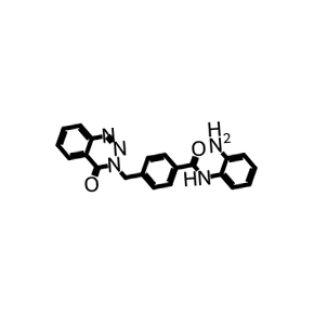 Nc1ccccc1NC(=O)c1ccc(Cn2nnc3ccccc3c2=O)cc1